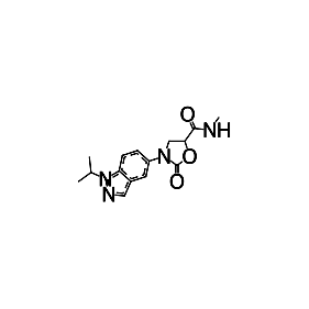 CNC(=O)C1CN(c2ccc3c(cnn3C(C)C)c2)C(=O)O1